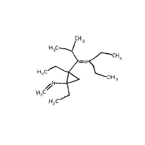 C=NC1(CC)CC1(CC)C(=C(CC)CC)C(C)C